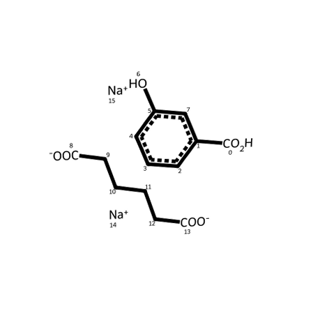 O=C(O)c1cccc(O)c1.O=C([O-])CCCCC(=O)[O-].[Na+].[Na+]